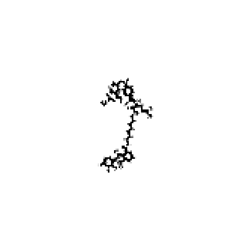 CN(Cc1cnc2nc(N)nc(N)c2n1)c1ccc(C(=O)N[C@@H](CCC(=O)O)C(=O)NCCCCCCCCNc2cccc3c2C(=O)N(C2CCC(=O)NC2=O)C3=O)cc1